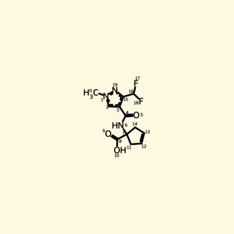 Cn1cc(C(=O)NC2(C(=O)O)CC=CC2)c(C(F)F)n1